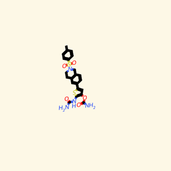 Cc1ccc(S(=O)(=O)N2CCc3cc(-c4cc(OC(N)=O)c(NC(N)=O)s4)ccc3C2)cc1